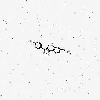 C=Cc1ccc2c(c1)OCc1c(-c3ccc(CCC)cc3)noc1-2